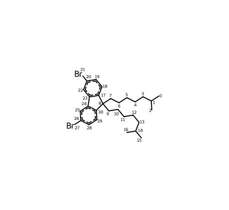 CC(C)CCCCCC1(CCCCCC(C)C)c2ccc(Br)cc2-c2cc(Br)ccc21